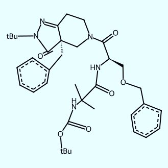 CC(C)(C)OC(=O)NC(C)(C)C(=O)N[C@H](COCc1ccccc1)C(=O)N1CCC2=NN(C(C)(C)C)C(=O)[C@]2(Cc2ccccc2)C1